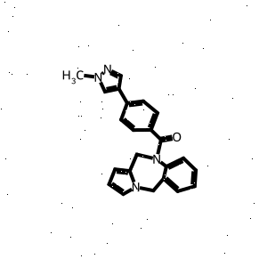 Cn1cc(-c2ccc(C(=O)N3Cc4cccn4Cc4ccccc43)cc2)cn1